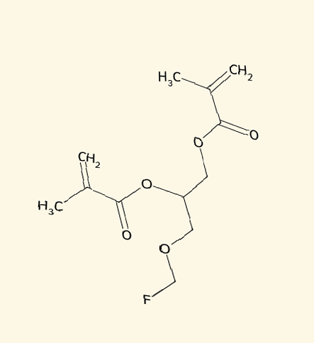 C=C(C)C(=O)OCC(COCF)OC(=O)C(=C)C